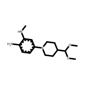 CNc1cc(N2CCC(C(OC)OC)CC2)ccc1N